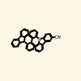 N#Cc1ccc2c(c1)c1ccccc1n2-c1ccccc1-c1ccccc1C1c2ccccc2-c2ccccc21